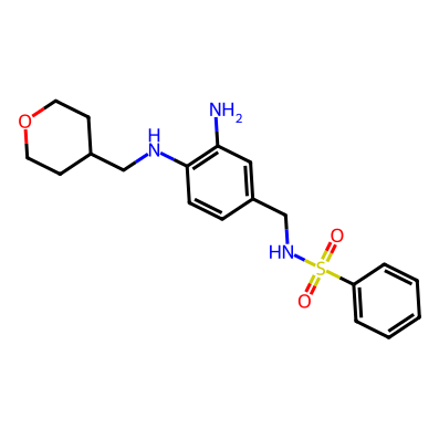 Nc1cc(CNS(=O)(=O)c2ccccc2)ccc1NCC1CCOCC1